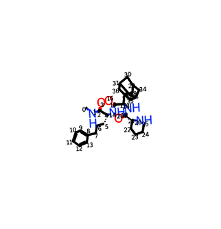 CNC(=O)[C@@H](CCCc1ccccc1)NC(=O)[C@H](NC(=O)[C@@H]1CCCCN1)C12CC3CC(CC(C3)C1)C2